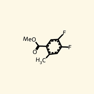 COC(=O)c1cc(F)c(F)cc1C